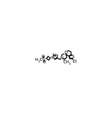 CCc1cc2c(s1)CCO[C@@]21CCN(Cc2cn([C@H]3C[C@@H](S(C)(=O)=O)C3)nn2)[C@@H](C)C1